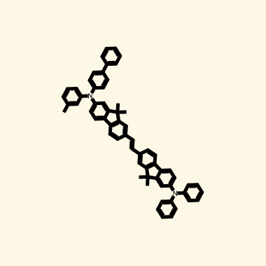 Cc1cccc(N(c2ccc(-c3ccccc3)cc2)c2ccc3c(c2)C(C)(C)c2cc(/C=C/c4ccc5c(c4)C(C)(C)c4cc(N(c6ccccc6)c6ccccc6)ccc4-5)ccc2-3)c1